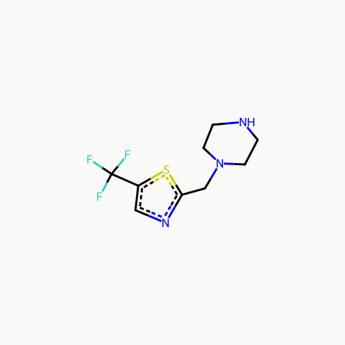 FC(F)(F)c1cnc(CN2CCNCC2)s1